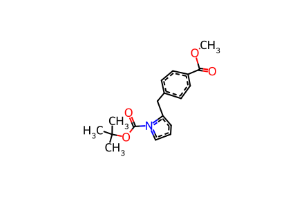 COC(=O)c1ccc(Cc2cccn2C(=O)OC(C)(C)C)cc1